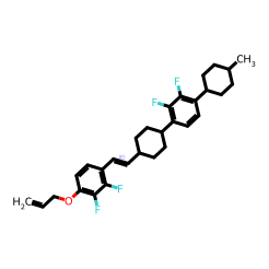 C=CCOc1ccc(/C=C/C2CCC(c3ccc(C4CCC(C)CC4)c(F)c3F)CC2)c(F)c1F